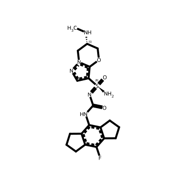 CN[C@@H]1COc2c([S@](N)(=O)=NC(=O)Nc3c4c(c(F)c5c3CCC5)CCC4)cnn2C1